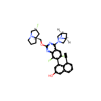 C#Cc1cccc2cc(O)cc(-c3c(F)cc4c(N5C[C@H]6C[C@@H](C5)N6)nc(OC[C@@]56CCCN5C[C@H](F)C6)nc4c3F)c12